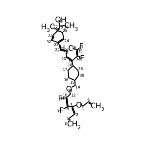 C=C/C=C(OCC=C)\C(F)=C(\F)COCC1CCC(C(=C/C=C/C2=CC[C@@](C)(C(C)O)C=C2)/C(F)=C(\C)F)CC1